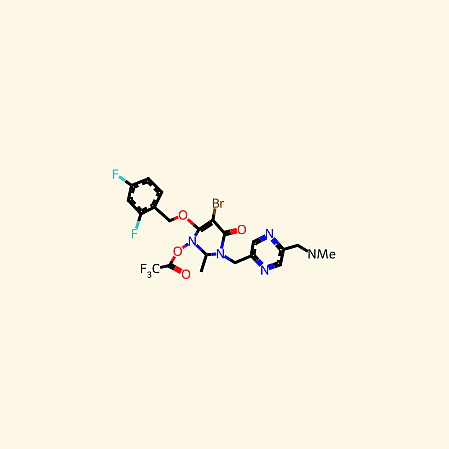 CNCc1cnc(CN2C(=O)C(Br)=C(OCc3ccc(F)cc3F)N(OC(=O)C(F)(F)F)C2C)cn1